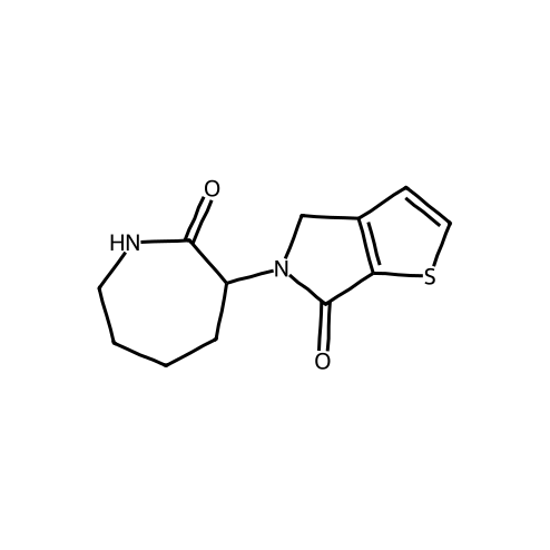 O=C1NCCCCC1N1Cc2ccsc2C1=O